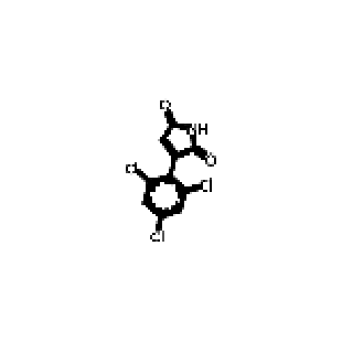 O=C1C=C(c2c(Cl)cc(Cl)cc2Cl)C(=O)N1